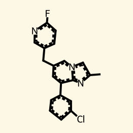 Cc1cn2cc(Cc3ccc(F)nc3)cc(-c3cccc(Cl)c3)c2n1